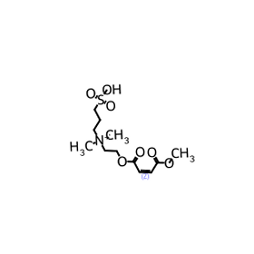 COC(=O)/C=C\C(=O)OCC[N+](C)(C)CCCS(=O)(=O)O